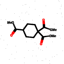 COC(=O)C1CCC(C(=O)OC)(C(=O)OC)CC1